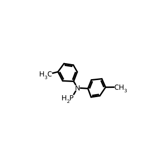 Cc1ccc(N(P)c2cccc(C)c2)cc1